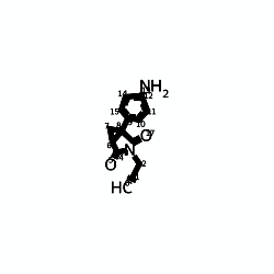 C#CCN1C(=O)C2CC2(c2ccc(N)cc2)C1=O